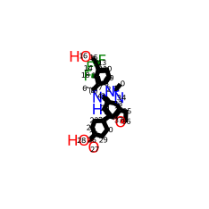 Cc1nc(N[C@H](C)c2cccc(C(F)(F)CO)c2F)c2cc(C3CCC(C(=O)O)CC3)c3c(c2n1)CCO3